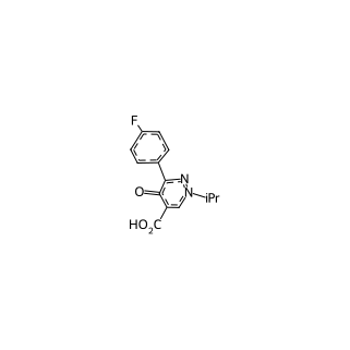 CC(C)n1cc(C(=O)O)c(=O)c(-c2ccc(F)cc2)n1